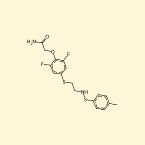 Cc1ccc(SNCCSc2cc(F)c(OCC(N)=O)c(F)c2)cc1